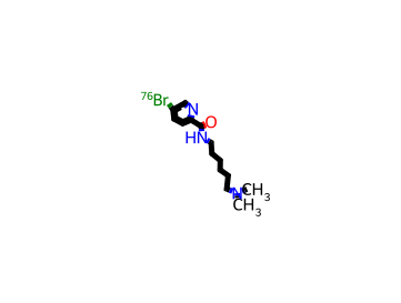 CN(C)CCCCCCNC(=O)c1ccc([76Br])cn1